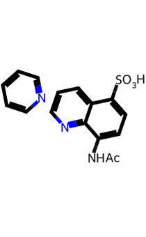 CC(=O)Nc1ccc(S(=O)(=O)O)c2cccnc12.c1ccncc1